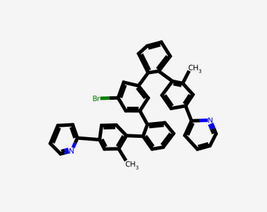 Cc1cc(-c2ccccn2)ccc1-c1ccccc1-c1cc(Br)cc(-c2ccccc2-c2ccc(-c3ccccn3)cc2C)c1